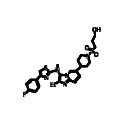 CCc1nc2ccc(C3CCN(S(=O)(=O)CCCO)CC3)cn2c1N(C)c1nc(-c2ccc(F)cc2)cs1